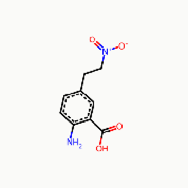 Nc1ccc(CC[N+](=O)[O-])cc1C(=O)O